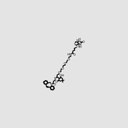 CC1(C)CC(=O)C(C(CCOCCOCCOCCOCCNC(=O)CCCC[C@@H]2SC[C@@H]3NC(=O)N[C@@H]32)=NCCC(=O)N2Cc3ccccc3C#Cc3ccccc32)=C(O)C1